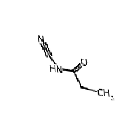 CCC(=O)NC#N